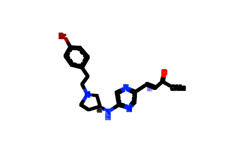 COC(=O)/C=C/c1cnc(N[C@@H]2CCN(CCc3ccc(Br)cc3)C2)cn1